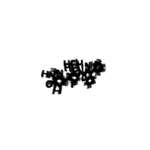 Cl.Cl.N[C@H](C(=O)Nc1ccc(-c2c[nH]c(=O)c3[nH]cnc23)c(F)c1)C(c1ccccc1)c1ccccc1